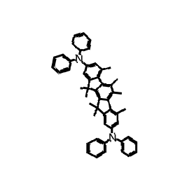 Cc1cc(N(c2ccccc2)c2ccccc2)cc2c1-c1c(C)c(C)c3c(c1C2(C)C)C(C)(C)c1cc(N(c2ccccc2)C2C=CC=CC2)cc(C)c1-3